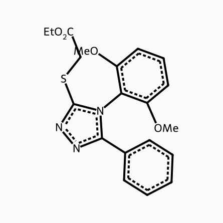 CCOC(=O)CSc1nnc(-c2ccccc2)n1-c1c(OC)cccc1OC